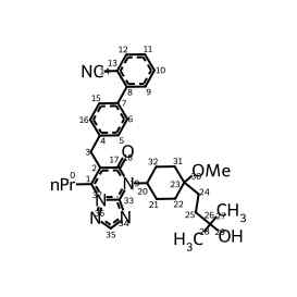 CCCc1c(Cc2ccc(-c3ccccc3C#N)cc2)c(=O)n(C2CCC(CCC(C)(C)O)(OC)CC2)c2ncnn12